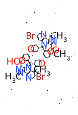 COC(=O)c1nn(C)c2c3ncc(Br)cc3n([C@H](c3ccccc3)C3CCOCC3)c12.Cc1c(Br)cnc2c3c(c(C(=O)O)nn3C)n([C@H](c3ccccc3)C3CCOCC3)c12